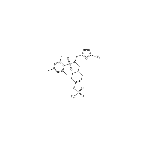 Cc1cc(C)c(S(=O)(=O)N(Cc2ccc(C(F)(F)F)o2)CC2CC=C(OS(=O)(=O)C(F)(F)F)CC2)c(C)c1